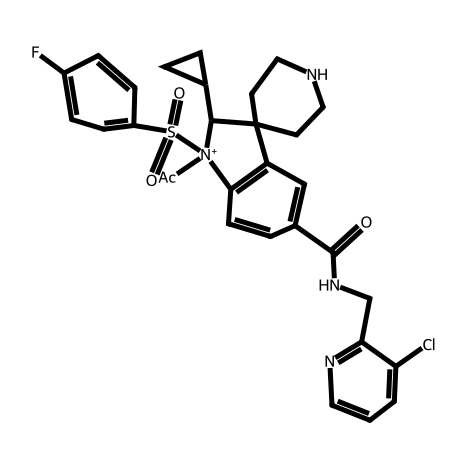 CC(=O)[N+]1(S(=O)(=O)c2ccc(F)cc2)c2ccc(C(=O)NCc3ncccc3Cl)cc2C2(CCNCC2)C1C1CC1